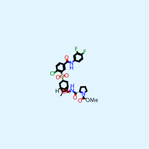 COC(=O)N1CCC[C@H]1C(=O)NC[C@]1(O)C2C[C@H](S(=O)(=O)c3cc(C(=O)Nc4ccc(F)c(F)c4)ccc3Cl)C[C@H]1[C@H](C)C2